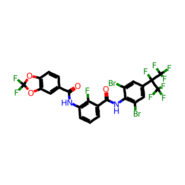 O=C(Nc1cccc(C(=O)Nc2c(Br)cc(C(F)(C(F)(F)F)C(F)(F)F)cc2Br)c1F)c1ccc2c(c1)OC(F)(F)O2